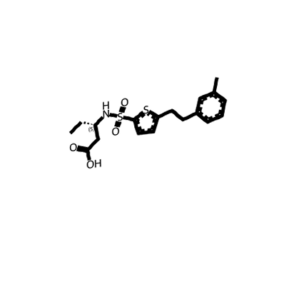 CC[C@@H](CC(=O)O)NS(=O)(=O)c1ccc(CCc2cccc(C)c2)s1